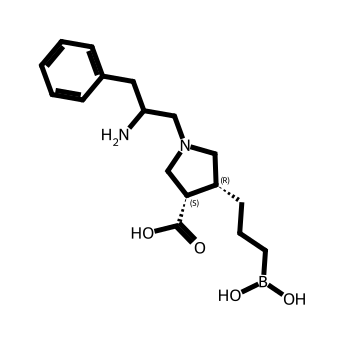 NC(Cc1ccccc1)CN1C[C@H](CCCB(O)O)[C@H](C(=O)O)C1